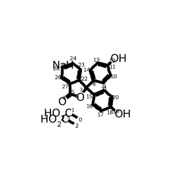 CC(=O)O.CC(=O)O.O=C1OC(c2ccc(O)cc2)(c2ccc(O)cc2)c2ccccc21.[NaH]